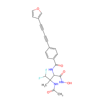 CC(=O)NC(C)(C(F)F)C(NC(=O)c1ccc(C#CC#Cc2ccoc2)cc1)C(=O)NO